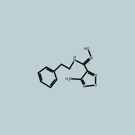 Nc1nonc1/C(=N/O)NCCc1ccccc1